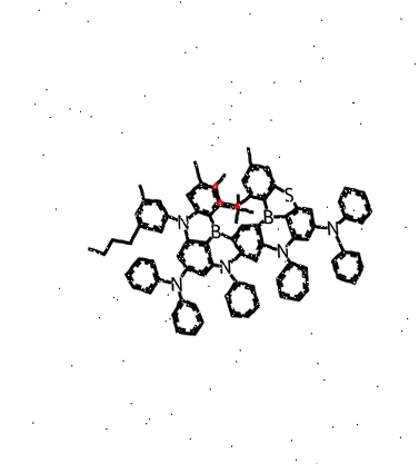 CCCCc1cc(C)cc(N2c3cc(N(c4ccccc4)c4ccccc4)cc4c3B(c3cc5c(cc3N4c3ccccc3)N(c3ccccc3)c3cc(N(c4ccccc4)c4ccccc4)cc4c3B5c3c(CCCC)cc(C)cc3S4)c3c2cc(C)cc3C(C)(C)C)c1